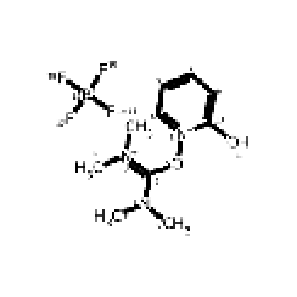 CN(C)C(O[n+]1ccccc1O)=[N+](C)C.F[B-](F)(F)F